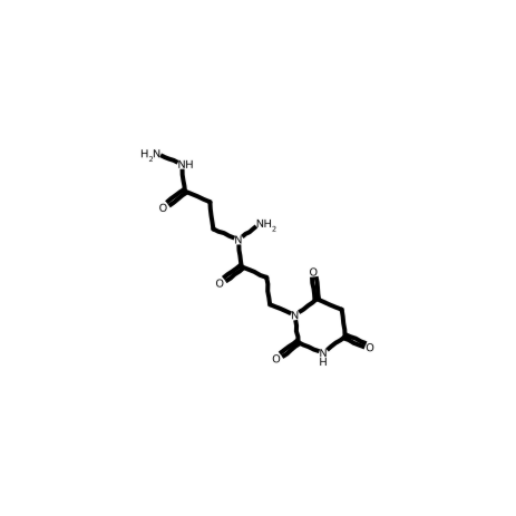 NNC(=O)CCN(N)C(=O)CCN1C(=O)CC(=O)NC1=O